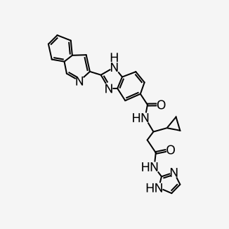 O=C(CC(NC(=O)c1ccc2[nH]c(-c3cc4ccccc4cn3)nc2c1)C1CC1)Nc1ncc[nH]1